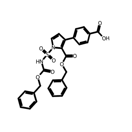 O=C(NS(=O)(=O)n1ccc(-c2ccc(C(=O)O)cc2)c1C(=O)OCc1ccccc1)OCc1ccccc1